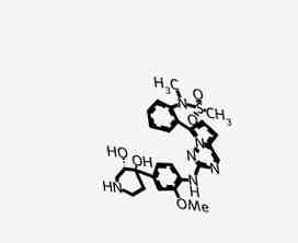 COc1cc([C@@]2(O)CCNC[C@@H]2O)ccc1Nc1ncc2ccc(-c3ccccc3N(C)S(C)(=O)=O)n2n1